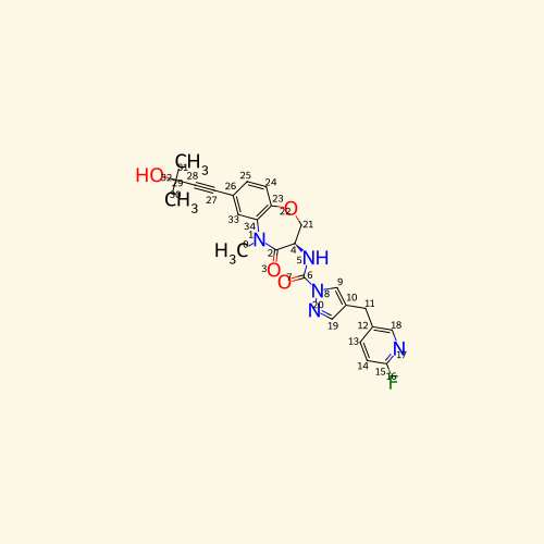 CN1C(=O)[C@H](NC(=O)n2cc(Cc3ccc(F)nc3)cn2)COc2ccc(C#CC(C)(C)O)cc21